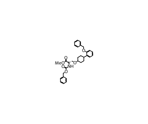 COC(=O)[C@H](COC1CCC(c2ccccc2OCc2ccccc2)CC1)NC(=O)OCc1ccccc1